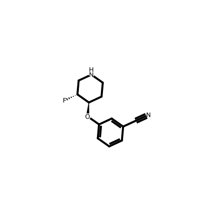 N#Cc1cccc(O[C@@H]2CCNC[C@H]2F)c1